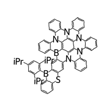 CC(C)c1cc(C(C)C)c(B2c3ccccc3Sc3cc4c(cc32)B2c3ccccc3-n3c5ccccc5n5c6ccccc6n6c7ccccc7n7c8ccccc8n-4c4c2c3c5c6c47)c(C(C)C)c1